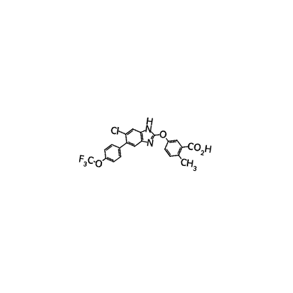 Cc1ccc(Oc2nc3cc(-c4ccc(OC(F)(F)F)cc4)c(Cl)cc3[nH]2)cc1C(=O)O